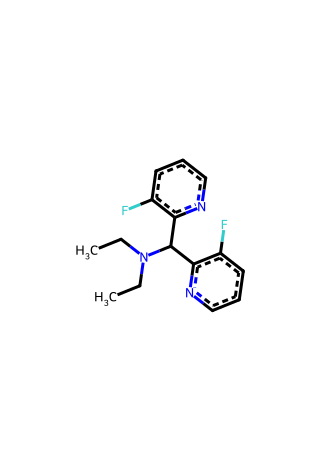 CCN(CC)C(c1ncccc1F)c1ncccc1F